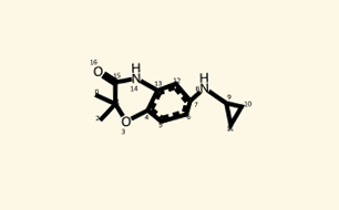 CC1(C)Oc2ccc(NC3CC3)cc2NC1=O